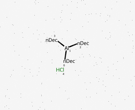 CCCCCCCCC[CH2][Al]([CH2]CCCCCCCCC)[CH2]CCCCCCCCC.Cl